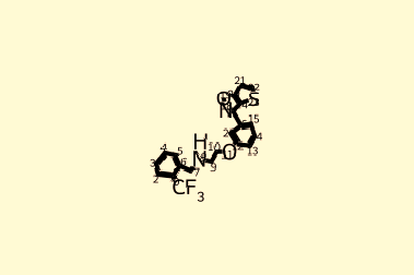 FC(F)(F)c1ccccc1CNCCOc1cccc(-c2noc3ccsc23)c1